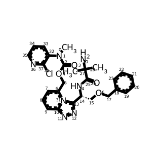 CN(C(=O)OCc1cccc2nnc([C@@H](COCc3ccccc3)NC(=O)C(C)(C)N)n12)c1cccnc1Cl